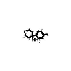 Cc1ccc(C2(N)CCOCC2)cc1